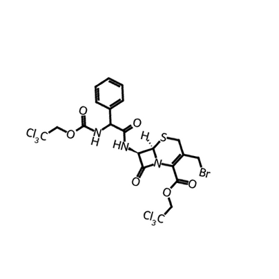 O=C(NC(C(=O)N[C@@H]1C(=O)N2C(C(=O)OCC(Cl)(Cl)Cl)=C(CBr)CS[C@H]12)c1ccccc1)OCC(Cl)(Cl)Cl